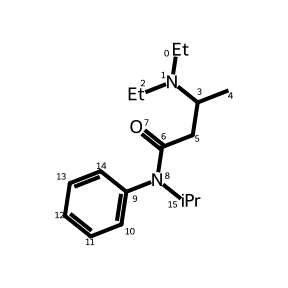 CCN(CC)C(C)CC(=O)N(c1ccccc1)C(C)C